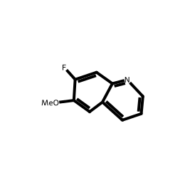 COc1cc2cccnc2cc1F